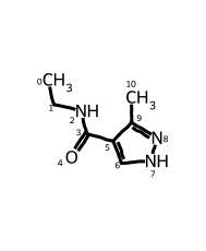 CCNC(=O)c1c[nH]nc1C